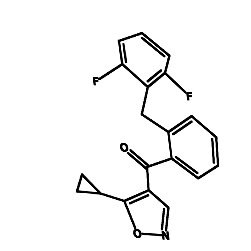 O=C(c1ccccc1Cc1c(F)cccc1F)c1cnoc1C1CC1